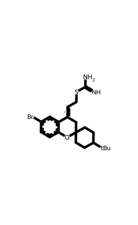 CC(C)(C)C1CCC2(CC1)C/C(=C\CSC(=N)N)c1cc(Br)ccc1O2